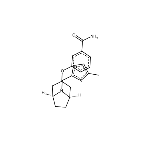 Cc1ccc(CN2[C@@H]3CC[C@H]2CC(Oc2cccc(C(N)=O)c2)C3)s1